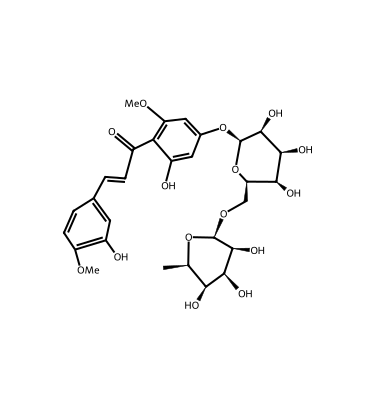 COc1ccc(/C=C/C(=O)c2c(O)cc(O[C@@H]3O[C@H](CO[C@@H]4O[C@H](C)[C@H](O)[C@H](O)[C@@H]4O)[C@H](O)[C@H](O)[C@@H]3O)cc2OC)cc1O